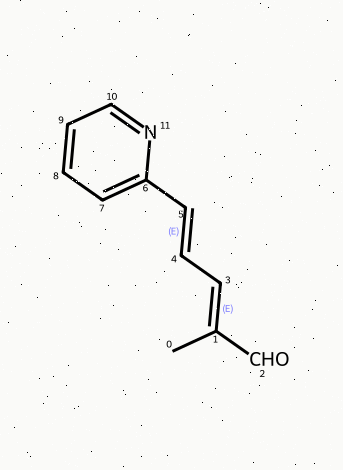 C/C(C=O)=C\C=C\c1ccccn1